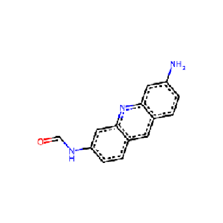 Nc1ccc2cc3ccc(NC=O)cc3nc2c1